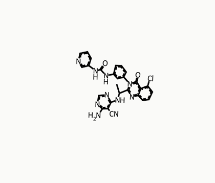 CC(Nc1ncnc(N)c1C#N)c1nc2cccc(Cl)c2c(=O)n1-c1cccc(NC(=O)Nc2cccnc2)c1